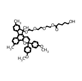 COc1ccc(C2(c3ccc(OC)cc3)C=Cc3c4c(c5ccc(C)cc5c3O2)-c2ccc(C)cc2C4(C)OCCOCCOCCOC(=O)CCCCO)cc1